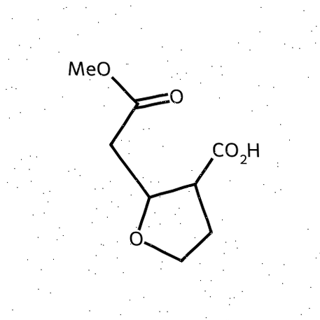 COC(=O)CC1OCCC1C(=O)O